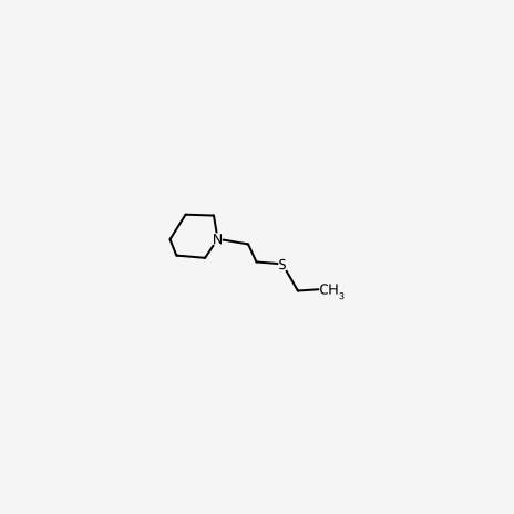 CCSCCN1CCCCC1